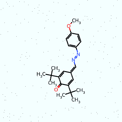 COc1ccc(N=NC=C2C=C(C(C)(C)C)C(=O)C(C(C)(C)C)=C2)cc1